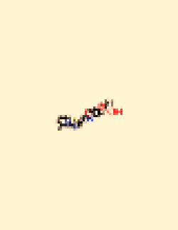 CCC(CO)Oc1ccc2nc(/C=C/c3cnc(N4CCCCCC4)s3)oc2c1